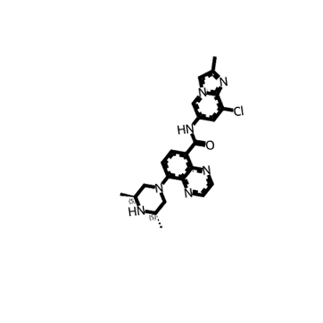 Cc1cn2cc(NC(=O)c3ccc(N4C[C@H](C)N[C@@H](C)C4)c4nccnc34)cc(Cl)c2n1